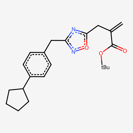 C=C(Cc1nc(Cc2ccc(C3CCCC3)cc2)no1)C(=O)OC(C)(C)C